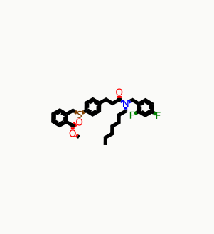 CCCCCCCN(Cc1ccc(F)cc1F)C(=O)CCc1ccc(SCc2ccccc2C(=O)OC)cc1